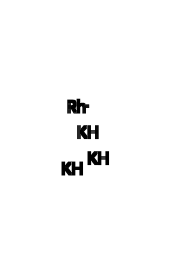 [KH].[KH].[KH].[Rh]